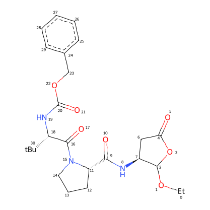 CCOC1OC(=O)C[C@@H]1NC(=O)[C@@H]1CCCN1C(=O)[C@@H](NC(=O)OCc1ccccc1)C(C)(C)C